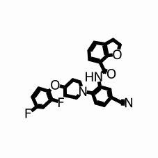 N#Cc1ccc(N2CCC(Oc3ccc(F)cc3F)CC2)c(NC(=O)c2cccc3c2OCC3)c1